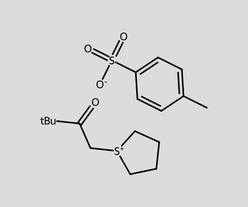 CC(C)(C)C(=O)C[S+]1CCCC1.Cc1ccc(S(=O)(=O)[O-])cc1